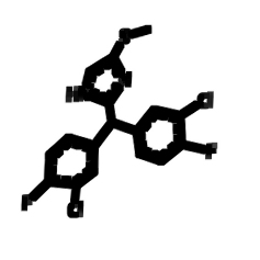 CSc1c[nH]c(C(c2ccc(F)c(Cl)c2)c2ccc(F)c(Cl)c2)n1